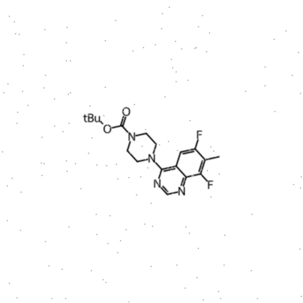 Cc1c(F)cc2c(N3CCN(C(=O)OC(C)(C)C)CC3)ncnc2c1F